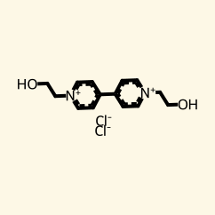 OCC[n+]1ccc(-c2cc[n+](CCO)cc2)cc1.[Cl-].[Cl-]